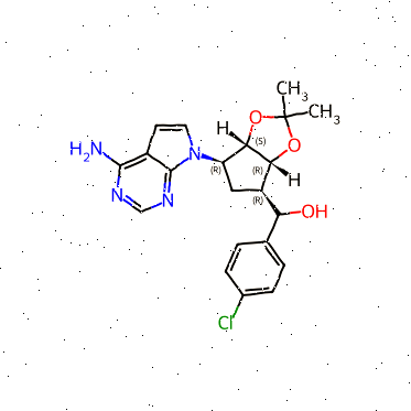 CC1(C)O[C@@H]2[C@H](O1)[C@@H](C(O)c1ccc(Cl)cc1)C[C@H]2n1ccc2c(N)ncnc21